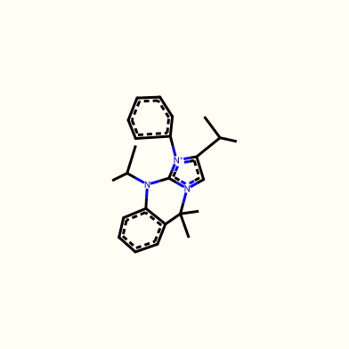 CC(C)c1cn2c([n+]1-c1ccccc1)N(C(C)C)c1ccccc1C2(C)C